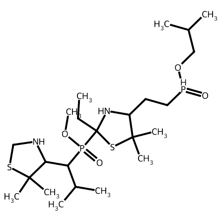 CCC1(P(=O)(OC)C(C(C)C)C2NCSC2(C)C)NC(CC[PH](=O)OCC(C)C)C(C)(C)S1